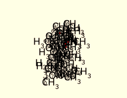 C/C=C/C[C@@H](C)[C@@H](O)[C@@H](C(=O)N[C@H](C(=O)N(C)CC(=O)OC)[C@@H](C)O)N(C)C(=O)[C@H](C(C)C)N(C)C(=O)[C@H](CC(C)C)NC(=O)[C@H](CC(C)C)N(C)C(=O)[C@@H](C)NC(=O)[C@H](C)NC(=O)[C@H](CC(C)C)N(C)C(=O)[C@H](CC(C)C)NC(=O)[C@H](CC(C)C)N(C)C(=O)CNC